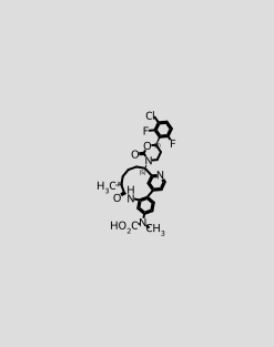 C[C@@H]1CCC[C@H](N2CC[C@H](c3c(F)ccc(Cl)c3F)OC2=O)c2cc(ccn2)-c2ccc(N(C)C(=O)O)cc2NC1=O